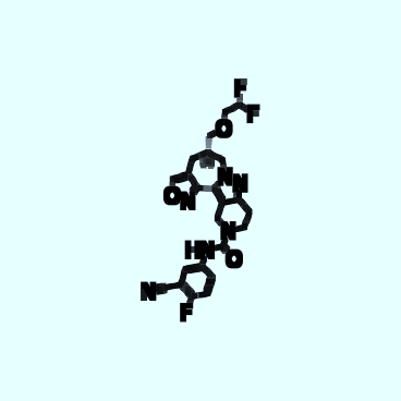 N#Cc1cc(NC(=O)N2CCc3nn4c(c3C2)-c2nocc2C[C@H](COCC(F)F)C4)ccc1F